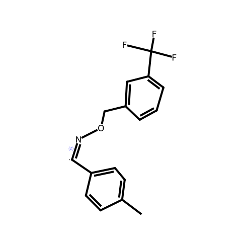 Cc1ccc(/[C]=N\OCc2cccc(C(F)(F)F)c2)cc1